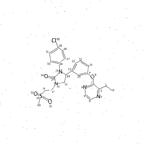 CCc1nccnc1Oc1cccc(C2CN(CCS(C)(=O)=O)C(=O)N2c2ccc(Cl)cc2)c1